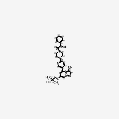 CC(C)(O)COc1cc(-c2ccc(N3CCN(C(=O)C(O)c4ccccc4)CC3)nc2)c2c(C#N)cnn2c1